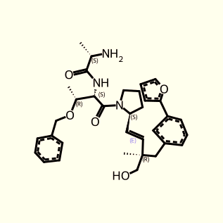 C[C@H](N)C(=O)N[C@H](C(=O)N1CCC[C@H]1/C=C/[C@](C)(CO)Cc1cccc(-c2ccco2)c1)[C@@H](C)OCc1ccccc1